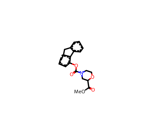 COC(=O)C1CN(C(=O)Oc2cccc3c2-c2ccccc2C3)CCO1